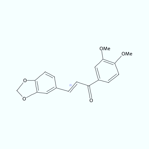 COc1ccc(C(=O)/C=C/c2ccc3c(c2)OCO3)cc1OC